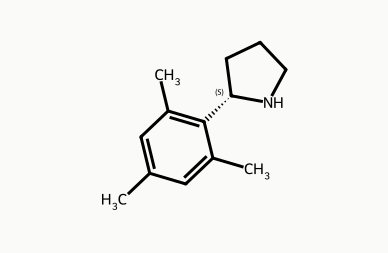 Cc1cc(C)c([C@@H]2CCCN2)c(C)c1